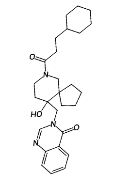 O=C(CCC1CCCCC1)N1CCC(O)(Cn2cnc3ccccc3c2=O)C2(CCCC2)C1